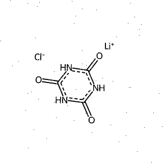 O=c1[nH]c(=O)[nH]c(=O)[nH]1.[Cl-].[Li+]